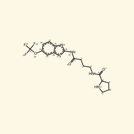 O=C(CCCNC(=O)C1CCCN1)Nc1nc2ccc(OC(F)(F)F)cc2s1